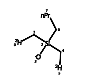 [3H]C[Si]([O])(C[3H])CCCC